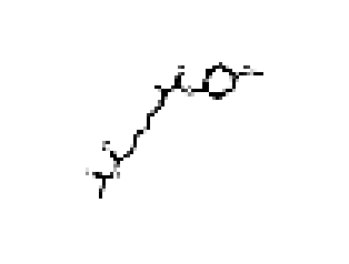 COc1ccc(OC(=O)C(C)=CCCCCC(=O)OC(C)=O)cc1